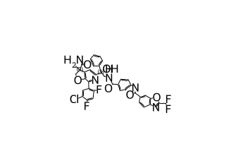 C[C@]1(C(N)=O)COc2c1cc([C@@](O)(CNC(=O)c1ccc3nc(-c4ccc5nc(C(F)F)oc5c4)oc3c1)c1ccccc1)nc2-c1cc(Cl)c(F)cc1F